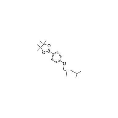 C[C](COc1ccc(B2OC(C)(C)C(C)(C)O2)cc1)CC(C)C